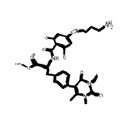 CCCOC(=O)C(Cc1ccc(-c2c(C)n(C)c(=O)n(C)c2=O)cc1)NC(=O)c1c(Cl)cc(OCCCN)cc1Cl